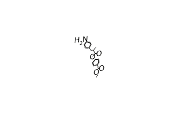 CCOC(=O)c1ccc(OC(=O)C(C)Cc2ccc(N)cc2)cc1